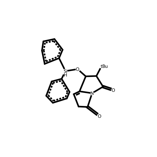 CC(C)(C)C1C(=O)N2C(=O)CC=C2C1O[SiH](c1ccccc1)c1ccccc1